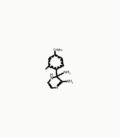 COc1ccc(C2(N)NC=CN=C2N)c(C)c1